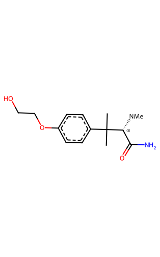 CN[C@H](C(N)=O)C(C)(C)c1ccc(OCCO)cc1